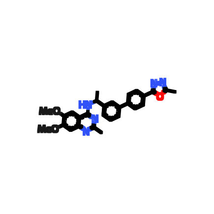 COc1cc2nc(C)nc(NC(C)c3cccc(-c4ccc(-c5nnc(C)o5)cc4)c3)c2cc1OC